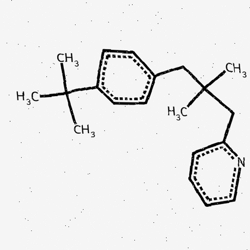 CC(C)(Cc1ccc(C(C)(C)C)cc1)Cc1ccccn1